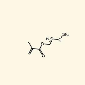 C=C(C)C(=O)OC[SiH2]OC(C)(C)C